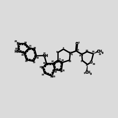 C[C@@H]1CN(C(=O)N2CCc3c(sc4ncnc(Nc5ccc6[nH]ncc6c5)c34)C2)C[C@H](C)O1